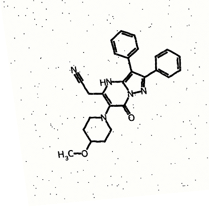 COC1CCN(c2c(CC#N)[nH]c3c(-c4ccccc4)c(-c4ccccc4)nn3c2=O)CC1